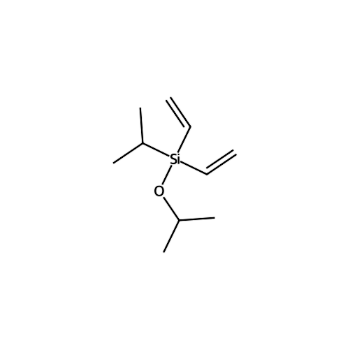 C=C[Si](C=C)(OC(C)C)C(C)C